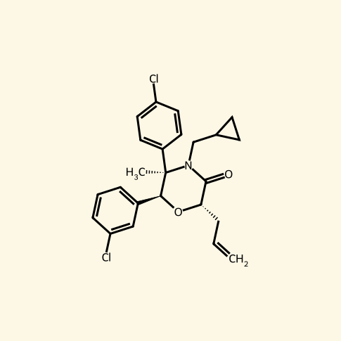 C=CC[C@@H]1O[C@@H](c2cccc(Cl)c2)[C@@](C)(c2ccc(Cl)cc2)N(CC2CC2)C1=O